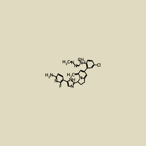 C=N/N=C\N(C)c1ccc(Cl)cc1C1=CC(=C)N2C(=C1)CCC2c1ncc(-c2ccc(N)nc2F)[nH]1